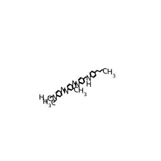 CCCCc1ccc(NCc2ccc(N=Nc3ccc(N=Nc4ccc(N(CC)CC)cc4)cc3C)cc2)cc1